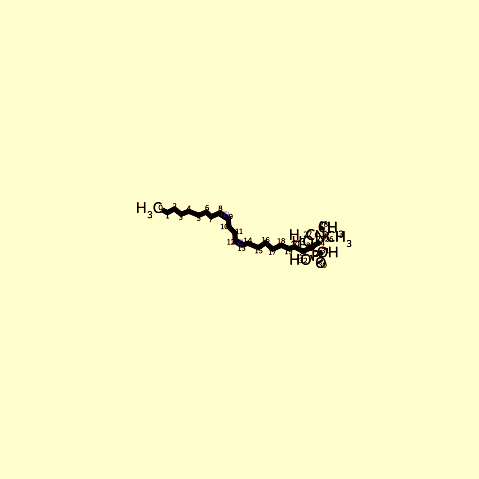 CCCCCCCC/C=C\CC/C=C\CCCCCCCCC(O)(C[N+](C)(C)C)P(=O)(O)O